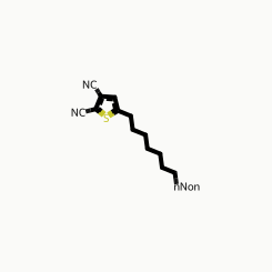 CCCCCCCCCCCCCCCCc1cc(C#N)c(C#N)s1